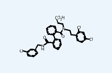 O=C(O)CCN(CCc1ccc(Cl)cc1Cl)C(=O)c1ccccc1-c1ccccc1C(=O)NCc1cccc(Cl)c1